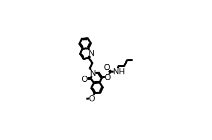 CCCCNC(=O)Oc1cn(CCc2ccc3ccccc3n2)c(=O)c2cc(OC)ccc12